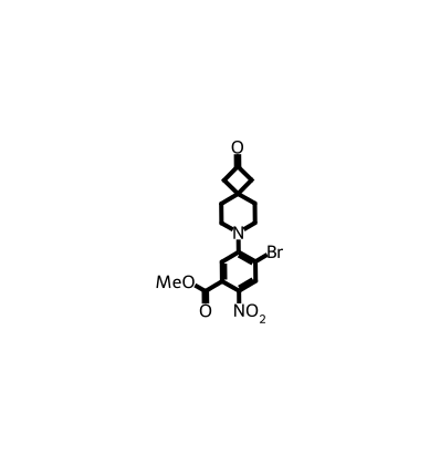 COC(=O)c1cc(N2CCC3(CC2)CC(=O)C3)c(Br)cc1[N+](=O)[O-]